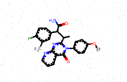 CCOc1ccc(-n2c(C(C)C(C(N)=O)c3ccc(F)c(C(F)(F)F)c3)nc3ncccc3c2=O)cc1